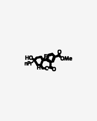 CCC[C@]1(O)CC[C@]2(CC)c3ccc(C(=O)OC)cc3C(=O)CC[C@@H]2C1